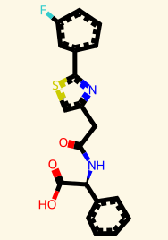 O=C(Cc1csc(-c2cccc(F)c2)n1)N[C@H](C(=O)O)c1ccccc1